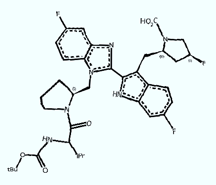 CC(C)C(NC(=O)OC(C)(C)C)C(=O)N1CCC[C@H]1Cn1c(-c2[nH]c3cc(F)ccc3c2C[C@@H]2C[C@H](F)CN2C(=O)O)nc2cc(F)ccc21